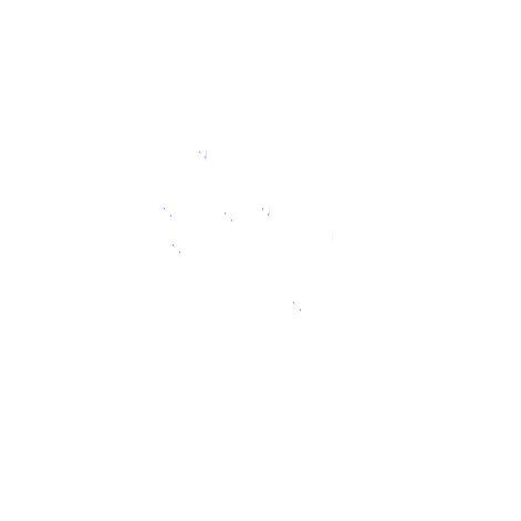 CCN(CC)c1cc2nnc(N)n2nc1Cl